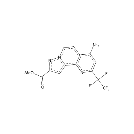 COC(=O)c1cc2c3nc(C(F)(F)C(F)(F)F)cc(C(F)(F)F)c3ccn2n1